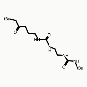 CC(C)(C)CC(=O)CCCNC(=O)NCCNC(=O)NC(C)(C)C